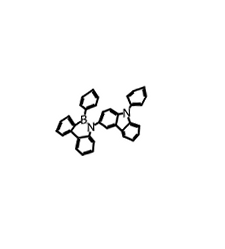 c1ccc(B2c3ccccc3-c3ccccc3N2c2ccc3c(c2)c2ccccc2n3-c2ccccc2)cc1